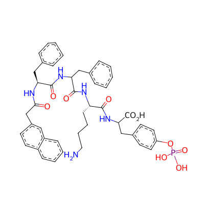 NCCCC[C@H](NC(=O)C(Cc1ccccc1)NC(=O)[C@H](Cc1ccccc1)NC(=O)Cc1ccc2ccccc2c1)C(=O)NC(Cc1ccc(OP(=O)(O)O)cc1)C(=O)O